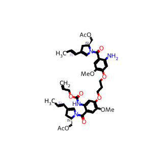 C=CCOC(=O)Nc1cc(OCCCOc2cc(N)c(C(=O)N3C=C(/C=C/C)C[C@H]3COC(C)=O)cc2OC)c(OC)cc1C(=O)N1C=C(/C=C/C)C[C@H]1COC(C)=O